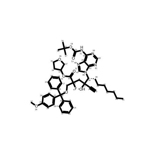 C#CC(O)(CC(F)(COC(c1ccccc1)(c1ccccc1)c1ccc(OC)cc1)C(=O)OC1CCOC1)[C@@H](CCCCCCC)n1cnc2c(NC(=O)OC(C)(C)C)ncnc21